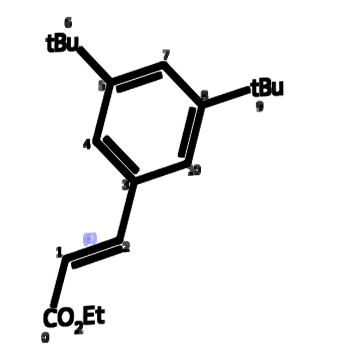 CCOC(=O)/C=C/c1cc(C(C)(C)C)cc(C(C)(C)C)c1